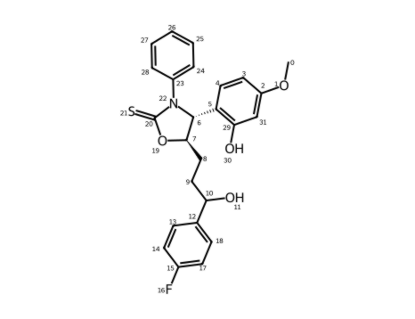 COc1ccc([C@@H]2[C@@H](CCC(O)c3ccc(F)cc3)OC(=S)N2c2ccccc2)c(O)c1